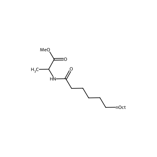 CCCCCCCCCCCCCC(=O)NC(C)C(=O)OC